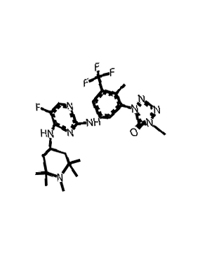 Cc1c(-n2nnn(C)c2=O)cc(Nc2ncc(F)c(NC3CC(C)(C)N(C)C(C)(C)C3)n2)cc1C(F)(F)F